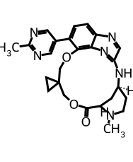 Cc1ncc(-c2ccc3ncc4nc3c2OCC2(CC2)COC(=O)[C@@H]2C[C@H](CCN2C)N4)cn1